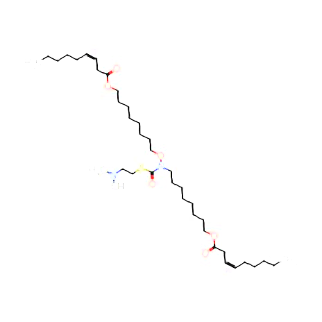 CCCCC/C=C\CC(=O)OCCCCCCCCON(CCCCCCCCOC(=O)C/C=C\CCCCC)C(=O)SCCN(C)C